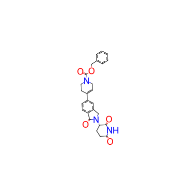 O=C1CC[C@H](N2Cc3cc(C4=CCN(C(=O)OCc5ccccc5)CC4)ccc3C2=O)C(=O)N1